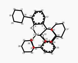 FOP(Oc1c(C2CCCCC2)cccc1C1CCCCC1)Oc1c(C2CCCCC2)cccc1C1CCCCC1